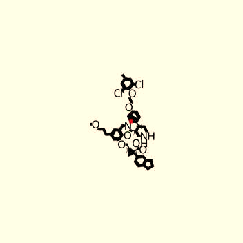 COCCCc1cc(CN(C(=O)[C@H]2CNCC[C@@H]2c2ccc(OCCOc3c(Cl)cc(C)cc3Cl)cc2)C2CC2)cc(OC[C@@H]2C[C@]2(C(=O)O)c2ccc3c(c2)CCC3)c1